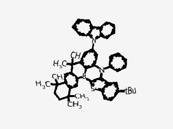 CC(C)(C)c1ccc2sc3c(c2c1)N(c1ccccc1)c1cc(-n2c4ccccc4c4ccccc42)cc2c1B3c1cc3c(cc1C2(C)C)C(C)(C)CCC3(C)C